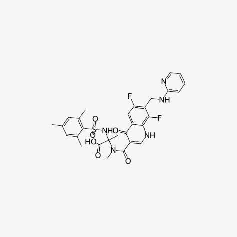 Cc1cc(C)c(S(=O)(=O)NC(C)(C(=O)O)N(C)C(=O)c2c[nH]c3c(F)c(CNc4ccccn4)c(F)cc3c2=O)c(C)c1